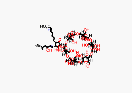 CCCC[C@H](C)C[C@H](O)/C=C/[C@H]1[C@H](O)CC(=O)[C@@H]1CCCC/C=C/C(=O)O.OC[C@H]1O[C@@H]2O[C@H]3[C@H](O)[C@@H](O)[C@@H](O[C@H]4[C@H](O)[C@@H](O)[C@@H](O[C@H]5[C@H](O)[C@@H](O)[C@@H](O[C@H]6[C@H](O)[C@@H](O)[C@@H](O[C@H]7[C@H](O)[C@@H](O)[C@@H](O[C@H]1[C@H](O)[C@H]2O)O[C@@H]7CO)O[C@@H]6CO)O[C@@H]5CO)O[C@@H]4CO)O[C@@H]3CO